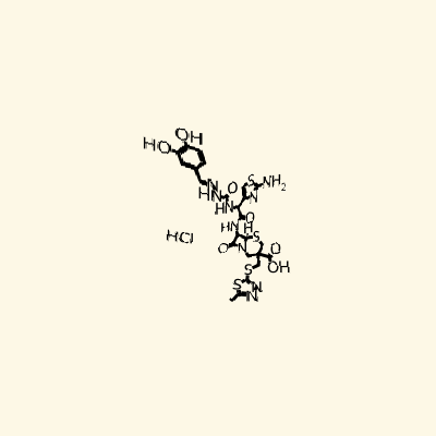 Cc1nnc(SCC2(C(=O)O)CS[C@@H]3C(NC(=O)C(NC(=O)NN=Cc4ccc(O)c(O)c4)c4csc(N)n4)C(=O)N3C2)s1.Cl